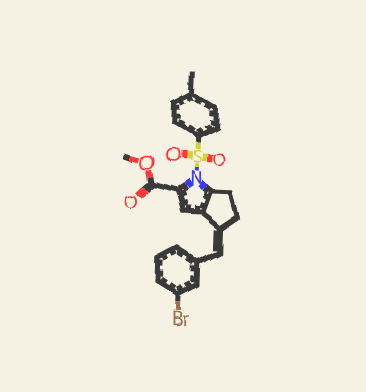 COC(=O)c1cc2c(n1S(=O)(=O)c1ccc(C)cc1)CCC2=Cc1cccc(Br)c1